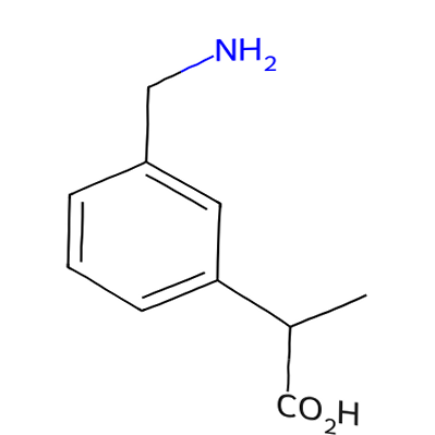 CC(C(=O)O)c1cccc(CN)c1